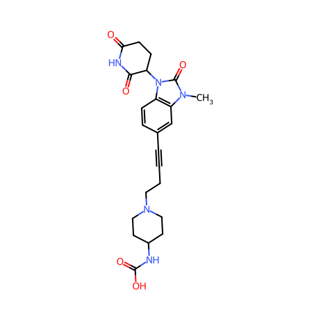 Cn1c(=O)n(C2CCC(=O)NC2=O)c2ccc(C#CCCN3CCC(NC(=O)O)CC3)cc21